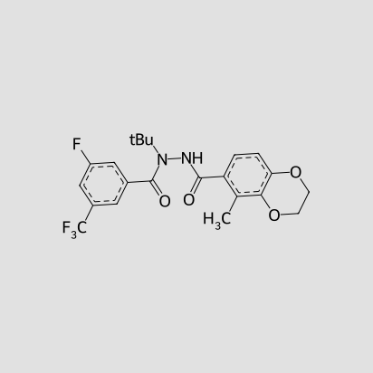 Cc1c(C(=O)NN(C(=O)c2cc(F)cc(C(F)(F)F)c2)C(C)(C)C)ccc2c1OCCO2